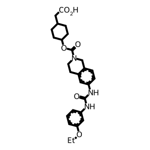 CCOc1cccc(NC(=O)Nc2ccc3c(c2)CCN(C(=O)OC2CCC(CC(=O)O)CC2)C3)c1